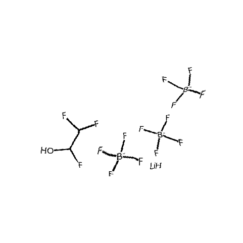 F[B-](F)(F)F.F[B-](F)(F)F.F[B-](F)(F)F.OC(F)C(F)F.[LiH]